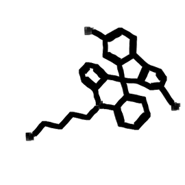 BrCCCCN1c2ccccc2C2(c3cc(Br)ccc3-c3ccc(Br)cc32)c2ccccc21